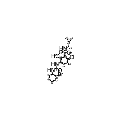 O=C(Nc1ccccc1Br)Nc1ccc(Cl)c(S(=O)(=O)NCC2CC2)c1O